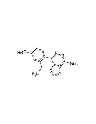 COc1ccc(-c2nnc(N)n3cccc23)c(CC(F)(F)F)c1